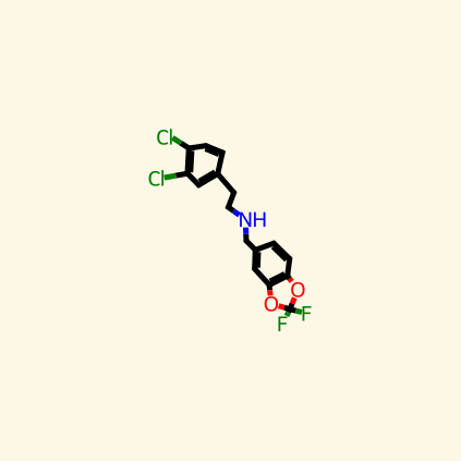 FC1(F)Oc2ccc(CNCCc3ccc(Cl)c(Cl)c3)cc2O1